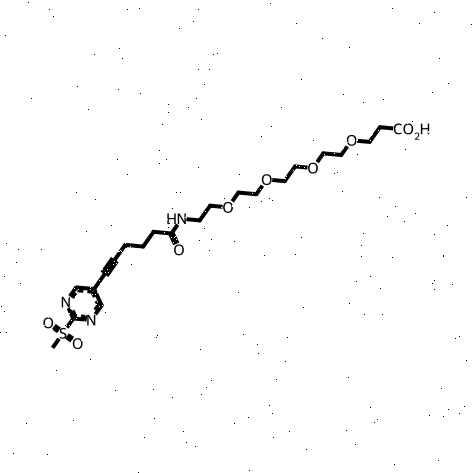 CS(=O)(=O)c1ncc(C#CCCCC(=O)NCCOCCOCCOCCOCCC(=O)O)cn1